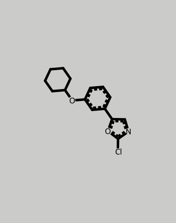 Clc1ncc(-c2cccc(OC3CCCCC3)c2)o1